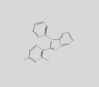 Cc1ccc(-c2nc3ccccc3n2-c2ccccc2)c(C)c1